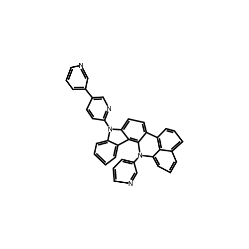 c1cncc(-c2ccc(-n3c4ccccc4c4c5c(ccc43)-c3cccc4cccc(c34)N5c3cccnc3)nc2)c1